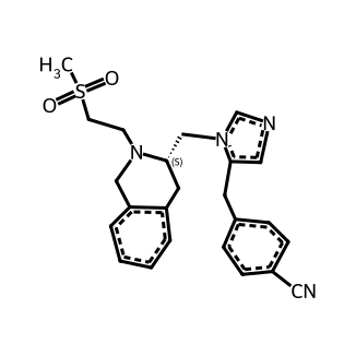 CS(=O)(=O)CCN1Cc2ccccc2C[C@H]1Cn1cncc1Cc1ccc(C#N)cc1